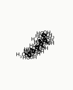 CC(=O)NC1C(O[C@@H]2OC(CO)[C@H](O)C(O)C2O[C@@H]2OC(C)[C@@H](O)C(O)C2O)[C@@H](O)C(CO)O[C@H]1OC1C(O)[C@@H](O[C@H]2C(CO)O[C@@H](O[C@@H]3C(CO)O[C@@H](OC(C)C)C(O)C3O)C(O)C2O)OC(CO)[C@@H]1O